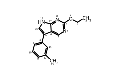 CCOc1ncc2c(-c3cccc(C)c3)c[nH]c2n1